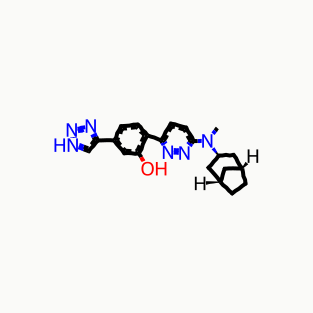 CN(c1ccc(-c2ccc(-c3c[nH]nn3)cc2O)nn1)[C@H]1C[C@@H]2CC[C@@H](C2)C1